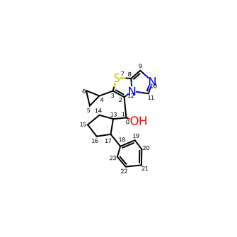 OC(c1c(C2CC2)sc2cncn12)C1CCCC1c1ccccc1